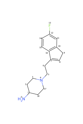 NC1CCN(CCC2=CCc3cc(F)ccc32)CC1